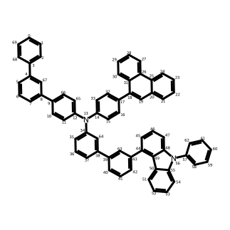 c1ccc(-c2cccc(-c3ccc(N(c4ccc(-c5cc6ccccc6c6ccccc56)cc4)c4cccc(-c5cccc(-c6cccc7c6c6ccccc6n7-c6ccccc6)c5)c4)cc3)c2)cc1